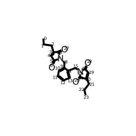 CCCC1=CC(=O)N(Cc2ccccc2CN2C(=O)C=C(CCC)C2=O)C1=O